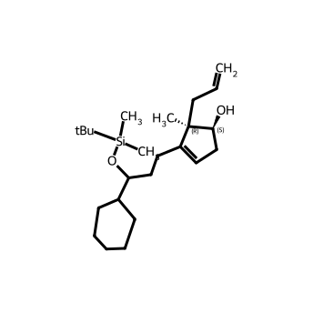 C=CC[C@]1(C)C(CCC(O[Si](C)(C)C(C)(C)C)C2CCCCC2)=CC[C@@H]1O